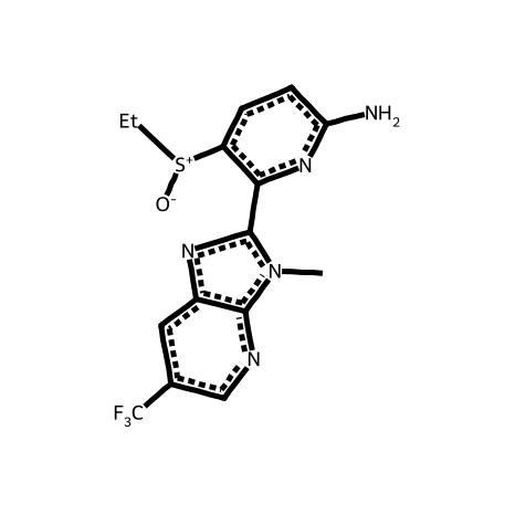 CC[S+]([O-])c1ccc(N)nc1-c1nc2cc(C(F)(F)F)cnc2n1C